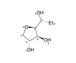 CC[C@@H](O)[C@@H]1OC[C@@H](O)[C@@H]1O